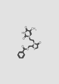 Cc1cn(CCN2C(=O)CSC2COC(=O)c2ccccc2)c(=O)[nH]c1=O